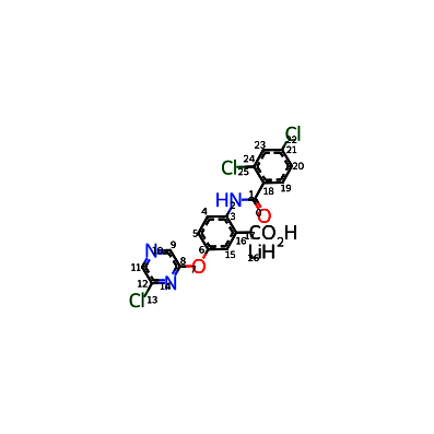 O=C(Nc1ccc(Oc2cncc(Cl)n2)cc1C(=O)O)c1ccc(Cl)cc1Cl.[LiH]